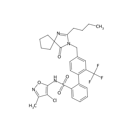 CCCCC1=NC2(CCCC2)C(=O)N1Cc1ccc(-c2ccccc2S(=O)(=O)Nc2onc(C)c2Cl)c(C(F)(F)F)c1